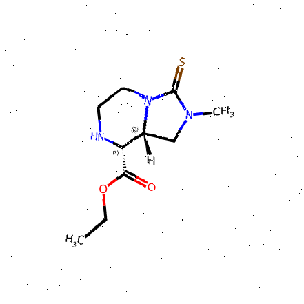 CCOC(=O)[C@@H]1NCCN2C(=S)N(C)C[C@H]12